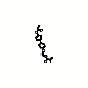 C=CC(=O)Oc1ccc(-c2ccc(O/C=C\OC(=O)C(=C)C)cc2)cc1